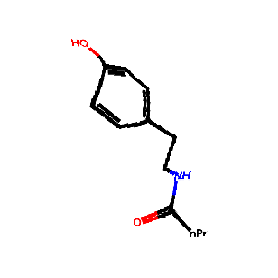 CCCC(=O)NCCc1ccc(O)cc1